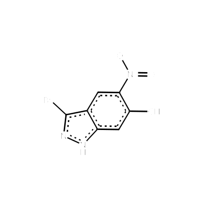 Cc1cc2[nH]nc(Br)c2cc1[N+](=O)[O-]